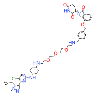 Cn1ncc(-c2nc(N[C@H]3CC[C@H](NCCOCCOCCOCCNCc4ccc(COc5cccc6c5CN([C@H]5CCC(=O)NC5=O)C6=O)cc4)CC3)ncc2Cl)c1CC1CC1